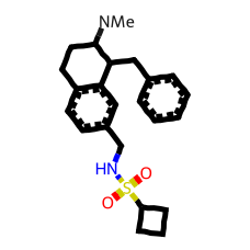 CNC1CCc2ccc(CNS(=O)(=O)C3CCC3)cc2C1Cc1ccccc1